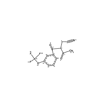 CC(=O)C(CC#N)C(=O)c1cccc(OC(F)(F)F)c1